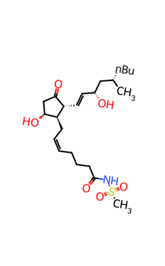 CCCC[C@H](C)C[C@H](O)/C=C/[C@H]1C(=O)C[C@H](O)[C@@H]1C/C=C\CCCC(=O)NS(C)(=O)=O